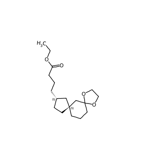 CCOC(=O)CCC[C@H]1CC[C@@]2(CCCC3(C2)OCCO3)C1